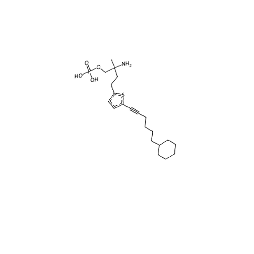 CC(N)(CCc1ccc(C#CCCCCC2CCCCC2)s1)COP(=O)(O)O